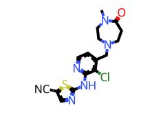 CN1CCN(Cc2ccnc(Nc3ncc(C#N)s3)c2Cl)CCC1=O